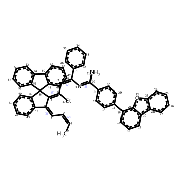 C\C=C/C=C1\C(=C(\C=C(/N=C(\N)c2ccc(-c3cccc4c3oc3ccccc34)cc2)c2ccccc2)CC)C2(c3ccccc31)c1ccccc1-c1ccccc12